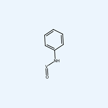 [O]=[V][NH]c1ccccc1